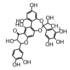 CC(O)C1(c2cc(O)c(O)c(O)c2)Oc2cc(O)cc(O)c2-c2c(cc3c(c2O)C(=O)C(O)C(c2ccc(O)c(O)c2)O3)O1